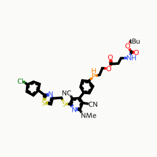 CNc1nc(SCc2csc(-c3ccc(Cl)cc3)n2)c(C#N)c(-c2ccc(PCCOC(=O)CCNC(=O)OC(C)(C)C)cc2)c1C#N